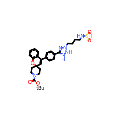 CC(C)(C)OC(=O)N1CCC2(C=C(c3ccc(C4=NN(CCCCN[SH](=O)=O)NN4)cc3)c3ccccc3O2)CC1